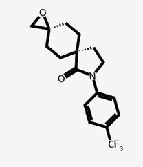 O=C1N(c2ccc(C(F)(F)F)cc2)CC[C@]12CC[C@]1(CC2)CO1